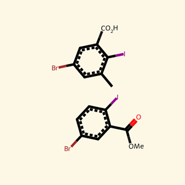 COC(=O)c1cc(Br)ccc1I.Cc1cc(Br)cc(C(=O)O)c1I